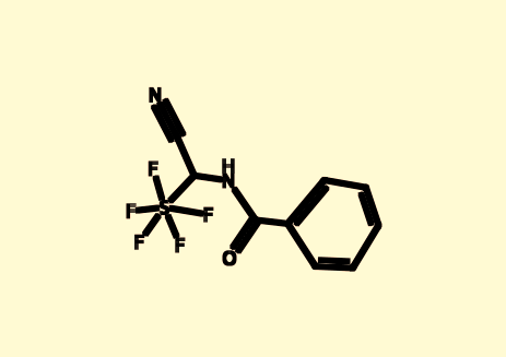 N#CC(NC(=O)c1ccccc1)S(F)(F)(F)(F)F